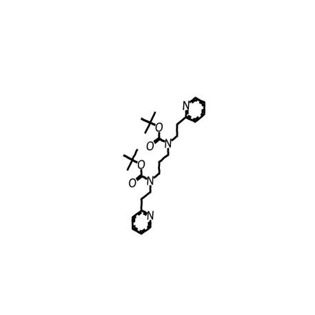 CC(C)(C)OC(=O)N(CCCN(CCc1ccccn1)C(=O)OC(C)(C)C)CCc1ccccn1